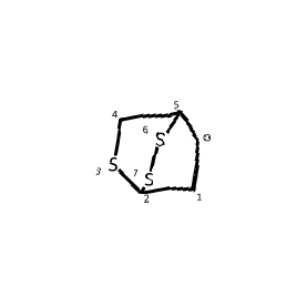 C1CC2SCC1SS2